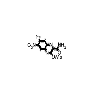 COc1nc2cc([N+](=O)[O-])c(F)cc2nc1C(N)=O